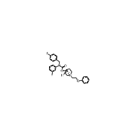 O=C(O[C@H]1C[N+]2(CCOc3ccccc3)CCC1CC2)N(Cc1ccc(F)cc1)c1cccc(F)c1